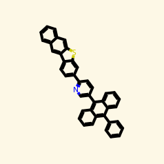 c1ccc(-c2c3ccccc3c(-c3ccc(-c4ccc5c(c4)sc4cc6ccccc6cc45)nc3)c3ccccc23)cc1